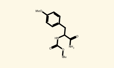 COc1ccc(CC(NC(=O)OC(C)(C)C)C(N)=O)cc1